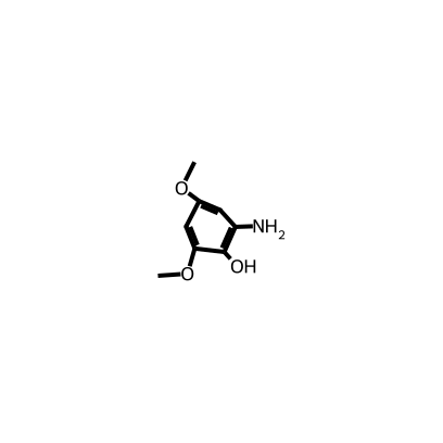 COc1cc(N)c(O)c(OC)c1